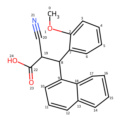 COc1ccccc1C(c1cccc2ccccc12)C(C#N)C(=O)O